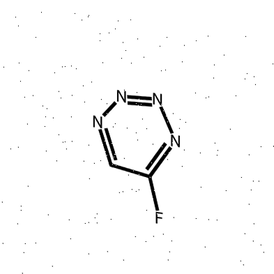 Fc1cnnnn1